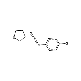 C1CCOC1.O=C=Nc1ccc(Cl)cc1